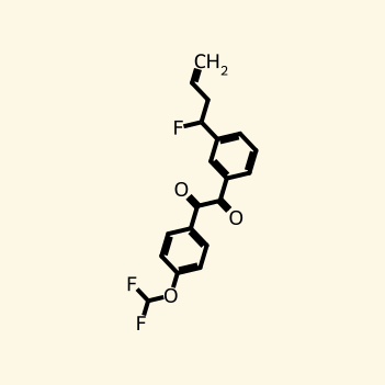 C=CCC(F)c1cccc(C(=O)C(=O)c2ccc(OC(F)F)cc2)c1